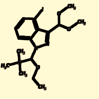 CCOC(n1nc(C(OC)OC)c2c(I)cccc21)[Si](C)(C)C